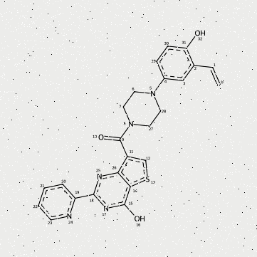 C=Cc1cc(N2CCN(C(=O)c3csc4c(O)nc(-c5ccccn5)nc34)CC2)ccc1O